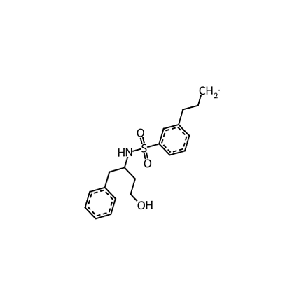 [CH2]CCc1cccc(S(=O)(=O)NC(CCO)Cc2ccccc2)c1